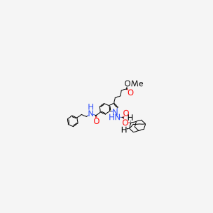 COC(=O)CCCc1cn(NC(=O)O[C@H]2C3CC4CC(C3)C[C@@H]2C4)c2cc(C(=O)NCCc3ccccc3)ccc12